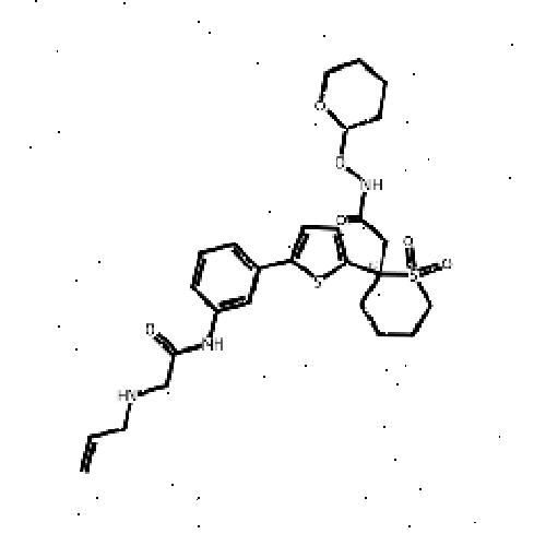 C=CCNCC(=O)Nc1cccc(-c2ccc([C@@]3(CC(=O)NOC4CCCCO4)CCCCS3(=O)=O)s2)c1